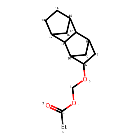 CCC(=O)OCOC1CC2CC1C1C3CCC(C3)C21